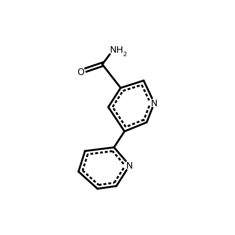 NC(=O)c1cncc(-c2ccccn2)c1